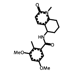 COc1cc(OC)c(C)c(C(=O)NC2CCCc3c2ccc(=O)n3C)c1